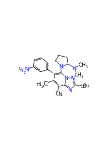 Cc1c(-c2cccc(N)c2)c(N2CCCC2N(C)C)n2nc(C(C)(C)C)nc2c1C#N